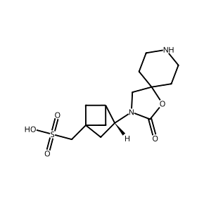 O=C1OC2(CCNCC2)CN1[C@@H]1CC2(CS(=O)(=O)O)CC1C2